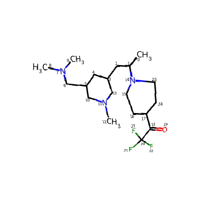 CC(CC1CC(CN(C)C)CN(C)C1)N1CCC(C(=O)C(F)(F)F)CC1